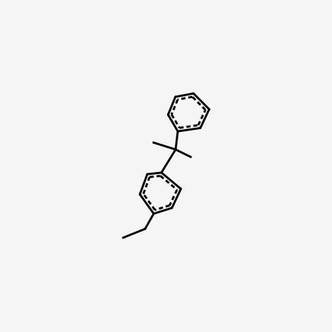 CCc1ccc(C(C)(C)c2ccccc2)cc1